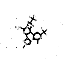 Cc1cc(-c2c(-c3ccn(C)n3)nc(N)n3nc(C(F)(F)F)nc23)cc(C(F)(F)F)n1